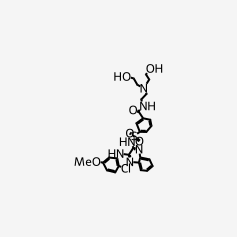 COc1ccc(Cl)c(Nc2nc3ccccc3nc2NS(=O)(=O)c2cccc(C(=O)NCCN(CCO)CCO)c2)c1